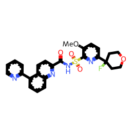 COc1ccc(C2(F)CCOCC2)nc1S(=O)(=O)NC(=O)c1ccc2c(-c3ccccn3)cccc2n1